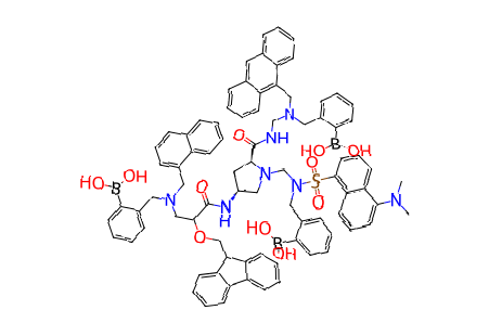 CN(C)c1cccc2c(S(=O)(=O)N(Cc3ccccc3B(O)O)CN3C[C@@H](NC(=O)C(CN(Cc4ccccc4B(O)O)Cc4cccc5ccccc45)OCC4c5ccccc5-c5ccccc54)C[C@H]3C(=O)NCN(Cc3ccccc3B(O)O)Cc3c4ccccc4cc4ccccc34)cccc12